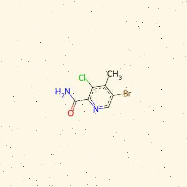 Cc1c(Br)cnc(C(N)=O)c1Cl